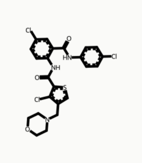 O=C(Nc1ccc(Cl)cc1)c1cc(Cl)ccc1NC(=O)c1scc(CN2CCOCC2)c1Cl